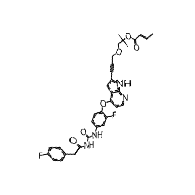 C/C=C/C(=O)OC(C)(C)COCC#Cc1cc2c(Oc3ccc(NC(=O)NC(=O)Cc4ccc(F)cc4)cc3F)ccnc2[nH]1